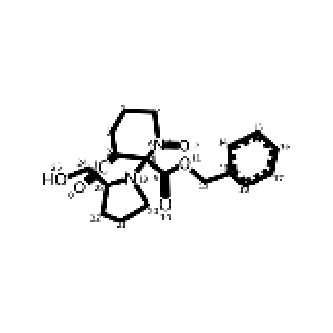 O=C=C1CCC[N+](=O)C1(C(=O)OCc1ccccc1)N1CCCC1CO